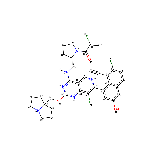 C#Cc1c(F)ccc2cc(O)cc(-c3ncc4c(N(C)C[C@@H]5CCCN5C(=O)C(=C)F)nc(OCC56CCCN5CCC6)nc4c3F)c12